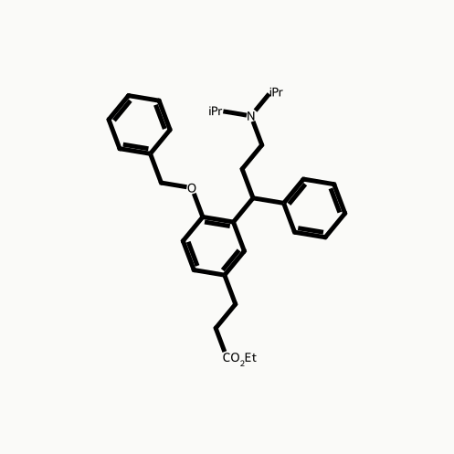 CCOC(=O)CCc1ccc(OCc2ccccc2)c(C(CCN(C(C)C)C(C)C)c2ccccc2)c1